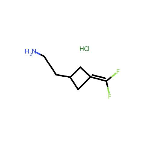 Cl.NCCC1CC(=C(F)F)C1